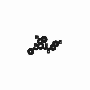 CC[C@@H](CN1CC[C@@H](CNC(=O)c2ccc3cc(Cl)ccc3c2)C[C@@H](CCN2CCCCC2)[N+]1=O)c1ccccc1